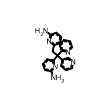 Nc1cccc(CC(c2cccnc2)(c2ccccn2)c2cccc(N)n2)n1